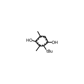 Cc1cc(O)c(C(C)(C)C)c(C)c1O